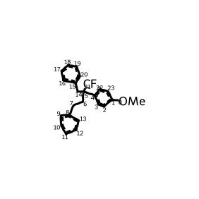 COc1ccc(C(CCc2ccccc2)(Cc2ccccc2)C(F)(F)F)cc1